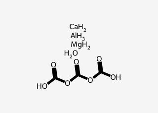 O.O=C(O)OC(=O)OC(=O)O.[AlH3].[CaH2].[MgH2]